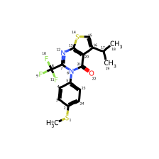 CSc1ccc(-n2c(C(F)(F)F)nc3scc(C(C)C)c3c2=O)cc1